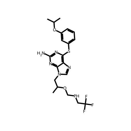 CC(C)Oc1cccc(Sc2nc(N)nc3c2ncn3CC(C)OCPCC(F)(F)F)c1